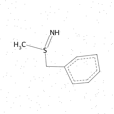 CS(=N)Cc1ccccc1